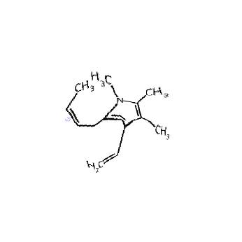 C=Cc1c(C)c(C)n(C)c1/C=C\C